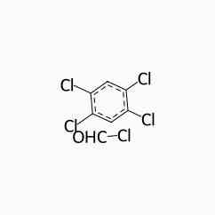 Clc1cc(Cl)c(Cl)cc1Cl.O=CCl